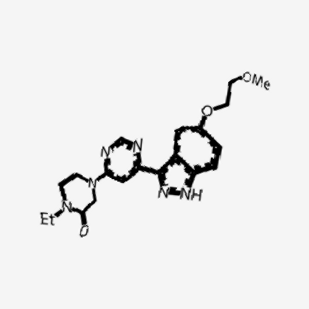 CCN1CCN(c2cc(-c3n[nH]c4ccc(OCCOC)cc34)ncn2)CC1=O